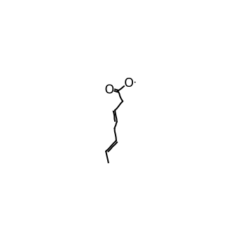 CC=CCC=CCC([O])=O